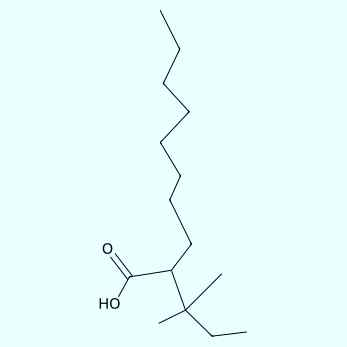 CCCCCCCCC(C(=O)O)C(C)(C)CC